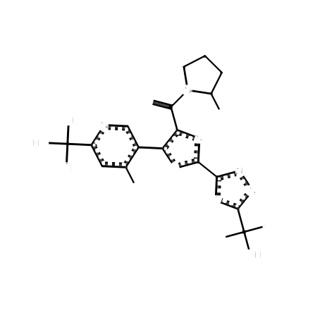 CC1CCCN1C(=O)c1nc(-c2nnc(C(C)(C)O)o2)sc1-c1cnc(C(O)(C(F)(F)F)C(F)(F)F)cc1C(F)(F)F